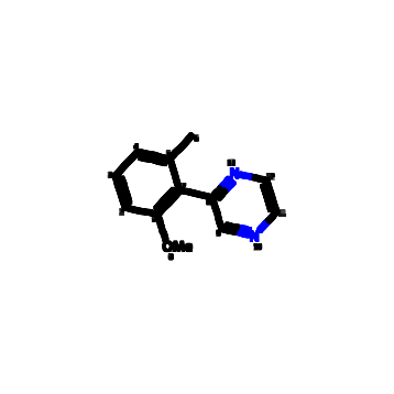 COc1cccc(C)c1-c1cnccn1